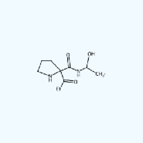 [CH2]C(O)NC(=O)C1(C(=O)CC)CCCN1